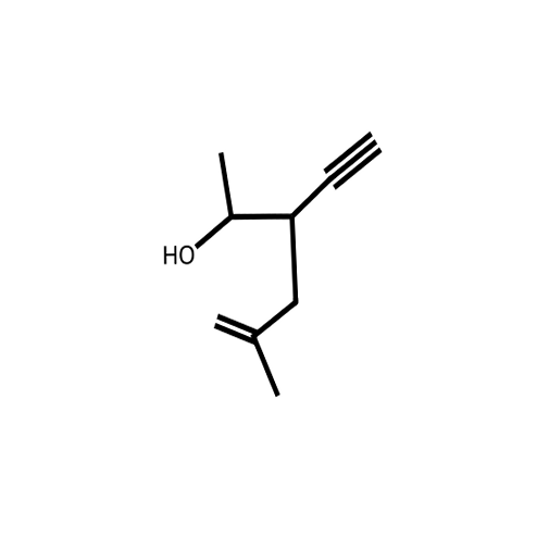 C#CC(CC(=C)C)C(C)O